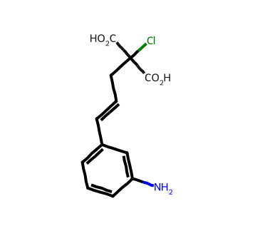 Nc1cccc(C=CCC(Cl)(C(=O)O)C(=O)O)c1